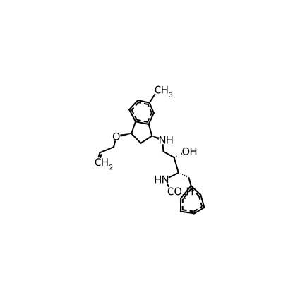 C=CCO[C@@H]1C[C@H](NC[C@H](O)[C@H](Cc2ccccc2)NC(=O)O)c2cc(C)ccc21